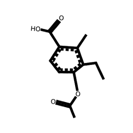 CCc1c(OC(C)=O)ccc(C(=O)O)c1C